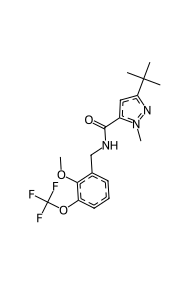 COc1c(CNC(=O)c2cc(C(C)(C)C)nn2C)cccc1OC(F)(F)F